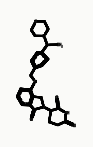 CC(c1ccc(COc2cccc3c2CN(C2CCC(=O)NC2=O)C3=O)cc1)N1CCOCC1